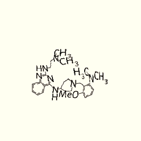 COc1cccc(N(C)C)c1CN1CCC(Nc2nc(NCCN(C)C)nc3ccccc23)CC1